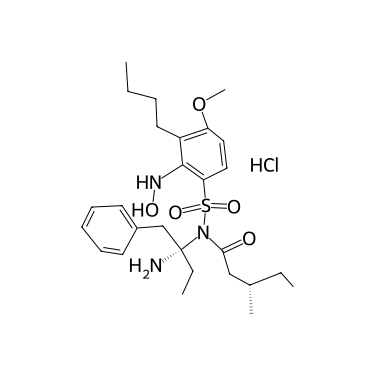 CCCCc1c(OC)ccc(S(=O)(=O)N(C(=O)C[C@@H](C)CC)[C@@](N)(CC)Cc2ccccc2)c1NO.Cl